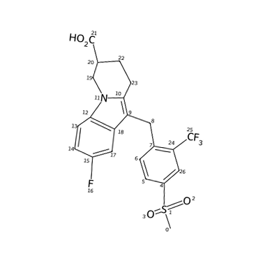 CS(=O)(=O)c1ccc(Cc2c3n(c4ccc(F)cc24)CC(C(=O)O)CC3)c(C(F)(F)F)c1